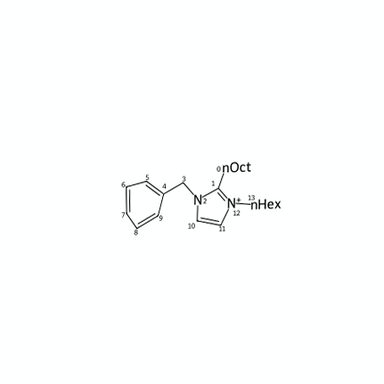 CCCCCCCCc1n(Cc2ccccc2)cc[n+]1CCCCCC